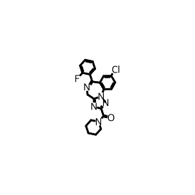 O=C(c1nc2n(n1)-c1ccc(Cl)cc1C(c1ccccc1F)=NC2)N1CCCCC1